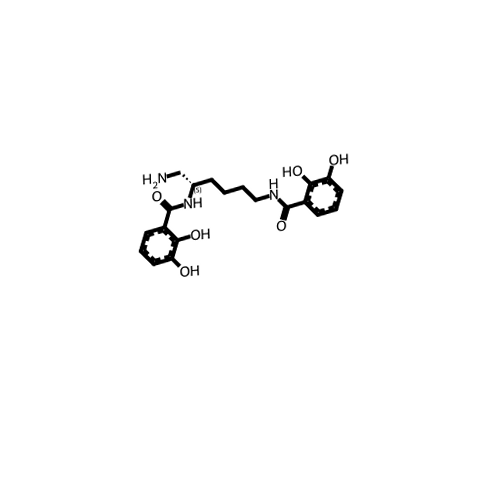 NC[C@H](CCCCNC(=O)c1cccc(O)c1O)NC(=O)c1cccc(O)c1O